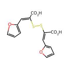 O=C(O)C(=Cc1ccco1)SSC(=Cc1ccco1)C(=O)O